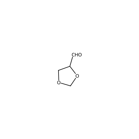 O=CC1COCO1